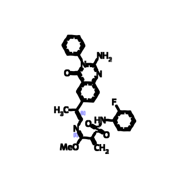 C=C(/C(=N\C=C(/C)c1ccc2nc(N)n(-c3ccccc3)c(=O)c2c1)OC)S(=O)(=O)Nc1ccccc1F